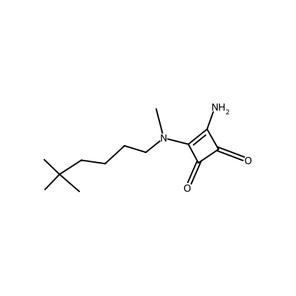 CN(CCCCC(C)(C)C)c1c(N)c(=O)c1=O